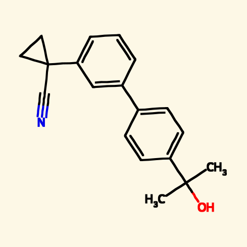 CC(C)(O)c1ccc(-c2cccc(C3(C#N)CC3)c2)cc1